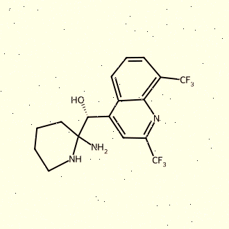 NC1([C@H](O)c2cc(C(F)(F)F)nc3c(C(F)(F)F)cccc23)CCCCN1